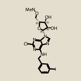 CNOC[C@H]1O[C@@H](n2cnc3c(NCc4cccc(I)c4)nc(Cl)nc32)[C@H](O)[C@@H]1O